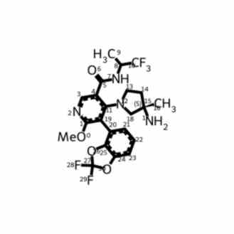 COc1ncc(C(=O)NC(C)C(F)(F)F)c(N2CC[C@](C)(N)C2)c1-c1cccc2c1OC(F)(F)O2